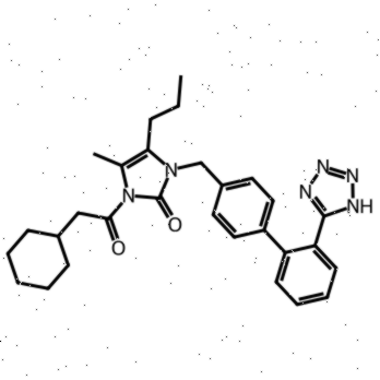 CCCc1c(C)n(C(=O)CC2CCCCC2)c(=O)n1Cc1ccc(-c2ccccc2-c2nnn[nH]2)cc1